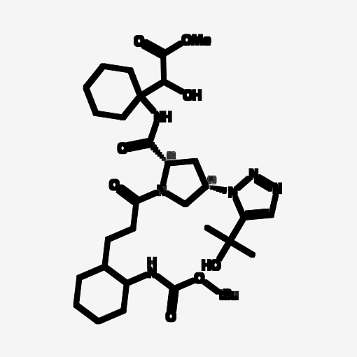 COC(=O)C(O)C1(NC(=O)[C@@H]2C[C@H](n3nncc3C(C)(C)O)CN2C(=O)CCC2CCCCC2NC(=O)OC(C)(C)C)CCCCC1